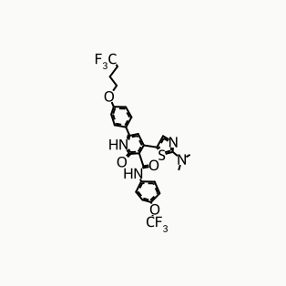 CN(C)c1ncc(-c2cc(-c3ccc(OCCCC(F)(F)F)cc3)[nH]c(=O)c2C(=O)Nc2ccc(OC(F)(F)F)cc2)s1